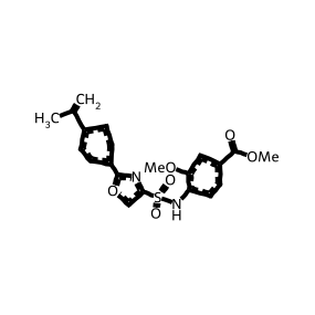 C=C(C)c1ccc(-c2nc(S(=O)(=O)Nc3ccc(C(=O)OC)cc3OC)co2)cc1